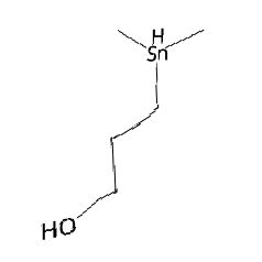 [CH3][SnH]([CH3])[CH2]CCO